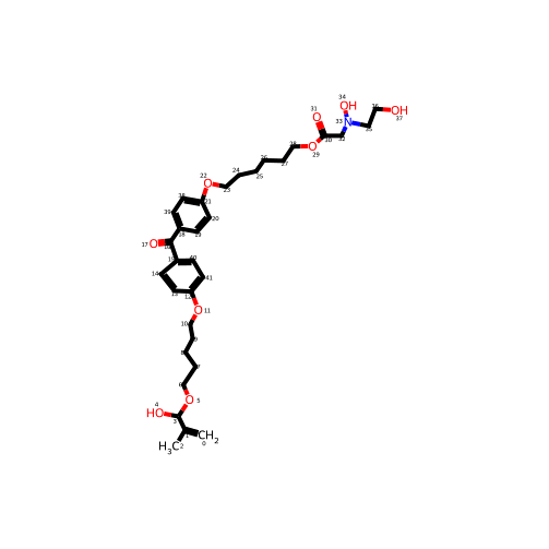 C=C(C)C(O)OCCCCCOc1ccc(C(=O)c2ccc(OCCCCCCOC(=O)CN(O)CCO)cc2)cc1